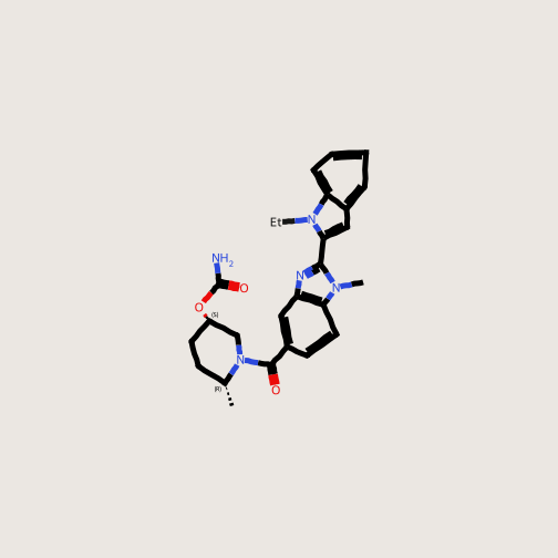 CCn1c(-c2nc3cc(C(=O)N4C[C@@H](OC(N)=O)CC[C@H]4C)ccc3n2C)cc2ccccc21